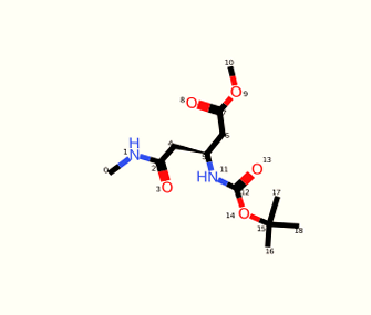 CNC(=O)C[C@@H](CC(=O)OC)NC(=O)OC(C)(C)C